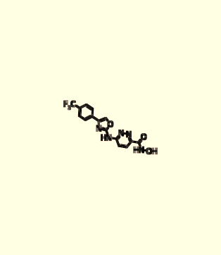 O=C(NO)c1ccc(Nc2nc(-c3ccc(C(F)(F)F)cc3)co2)nn1